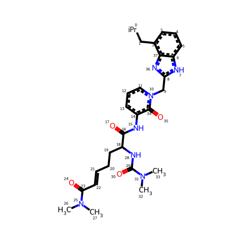 CC(C)Cc1cccc2[nH]c(Cn3cccc(NC(=O)C(CC/C=C/C(=O)N(C)C)NC(=O)N(C)C)c3=O)nc12